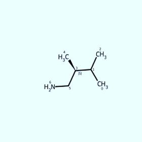 CC(C)[C@H](C)CN